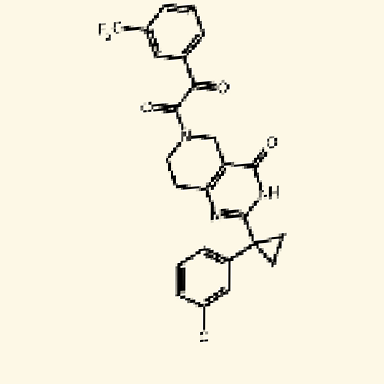 O=C(C(=O)N1CCc2nc(C3(c4cccc(Cl)c4)CC3)[nH]c(=O)c2C1)c1cccc(C(F)(F)F)c1